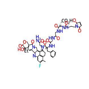 CC[C@@]1(O)C(=O)OCc2c1cc1n(c2=O)Cc2c-1nc1cc(F)c(C)c3c1c2[C@@H](N(CC(N)=O)C(=O)[C@H](Cc1ccccc1)NC(=O)CNC(=O)CNC(=O)[C@H](CC(=O)O)NC(=O)CCCN1C(=O)C=CC1=O)CC3